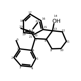 Cc1ccccc1C(C1CCCCC1(O)c1ccccc1)N(C)C